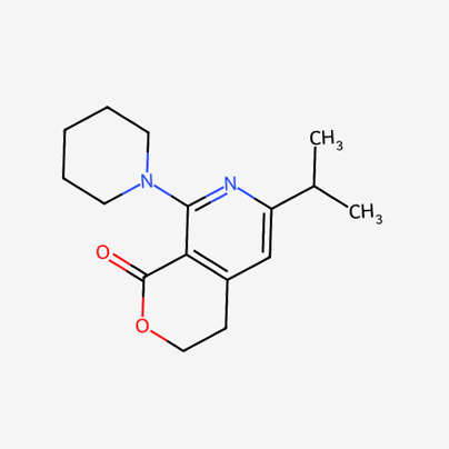 CC(C)c1cc2c(c(N3CCCCC3)n1)C(=O)OCC2